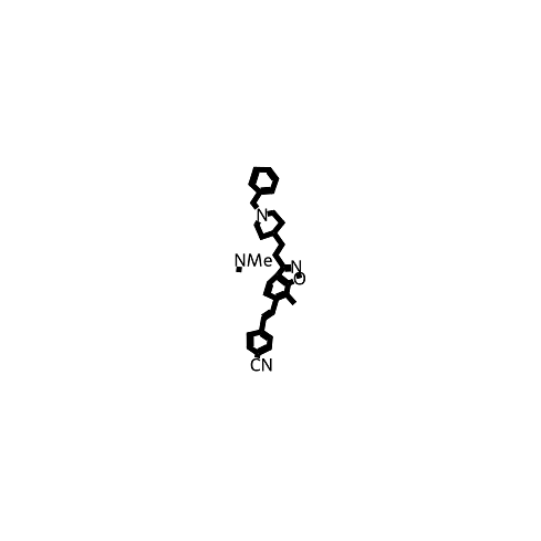 CNC.Cc1c(C=Cc2ccc(C#N)cc2)ccc2c(CCC3CCN(Cc4ccccc4)CC3)noc12